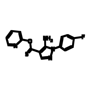 Nc1c(C(=S)Oc2ccccn2)cnn1-c1ccc(F)cc1